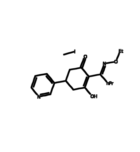 CCCC(=NOCC)C1=C(O)CC(c2cccnc2)CC1=O.CI